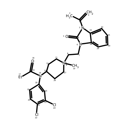 C=C(C)n1c(=O)n(CC[N+]2(C)CCC(N(C(=O)CC)c3ccc(Cl)c(Cl)c3)CC2)c2ccccc21